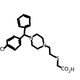 O=C(O)CSCCN1CCN(C(c2ccccc2)c2ccc(Cl)cc2)CC1